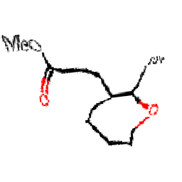 CCCC1OCCCC1CC(=O)OC